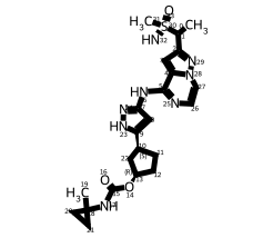 CC(c1cc2c(Nc3cc([C@H]4CC[C@@H](OC(=O)NC5(C)CC5)C4)[nH]n3)nccn2n1)S(C)(=N)=O